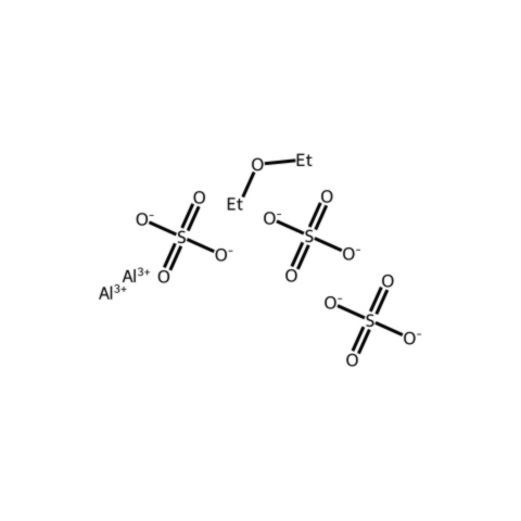 CCOCC.O=S(=O)([O-])[O-].O=S(=O)([O-])[O-].O=S(=O)([O-])[O-].[Al+3].[Al+3]